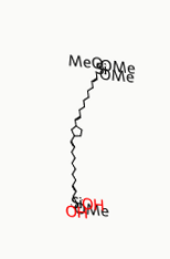 CO[Si](CO)(CO)CC=CCCCCCC/C=C/C1CCC(/C=C/CCCCCCC=CC[Si](OC)(OC)OC)C1